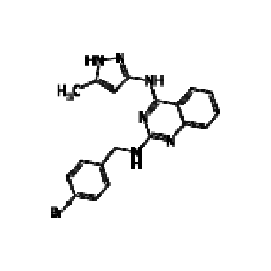 Cc1cc(Nc2nc(NCc3ccc(Br)cc3)nc3ccccc23)n[nH]1